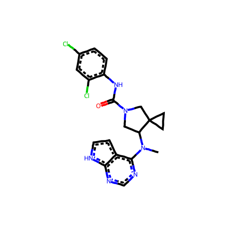 CN(c1ncnc2[nH]ccc12)C1CN(C(=O)Nc2ccc(Cl)cc2Cl)CC12CC2